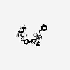 CC(CC(F)(F)F)NC(=O)O[C@@H]1CC[C@H](c2cc(NC(=O)OCc3ccccc3)n(C(C)(C)C)n2)C1